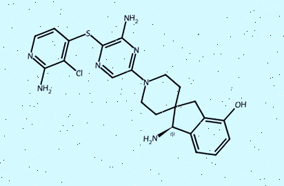 Nc1nc(N2CCC3(CC2)Cc2c(O)cccc2[C@H]3N)cnc1Sc1ccnc(N)c1Cl